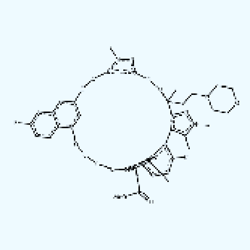 COC(=O)c1c(C)c2c3c(Cl)ccc2n1CCCOc1cc(cc2cc(F)ccc12)CCc1cc(nn1C)COC(C)(CCN1CCOCC1)c1nn(C)c(C)c1-3